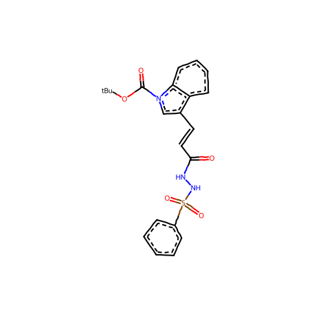 CC(C)(C)OC(=O)n1cc(/C=C/C(=O)NNS(=O)(=O)c2ccccc2)c2ccccc21